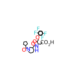 O=C(O)CC(NC(=O)C1CCCCN(C(=O)C2CCCC2)C1)C(=O)COc1c(F)c(F)cc(F)c1F